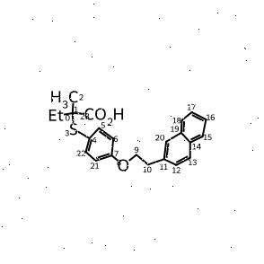 CCC(C)(Sc1ccc(OCCc2ccc3ccccc3c2)cc1)C(=O)O